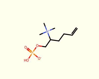 C=CCCC(COP(=O)([O-])O)[N+](C)(C)C